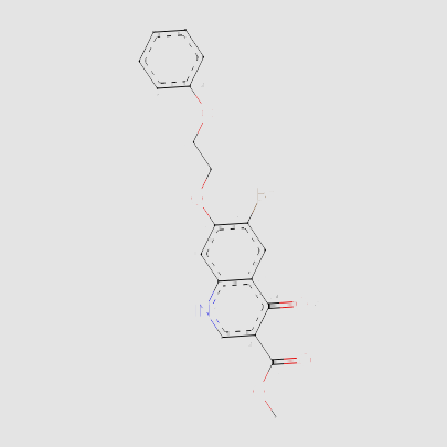 COC(=O)c1c[nH]c2cc(OCCOc3ccccc3)c(Br)cc2c1=O